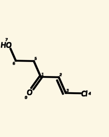 O=C(C=CCl)CCO